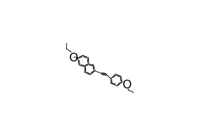 CCCOc1ccc2cc(C#Cc3ccc(OCC)cc3)ccc2c1